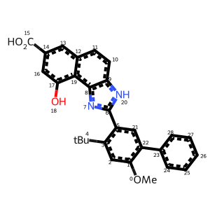 COc1cc(C(C)(C)C)c(-c2nc3c(ccc4cc(C(=O)O)cc(O)c43)[nH]2)cc1-c1ccccc1